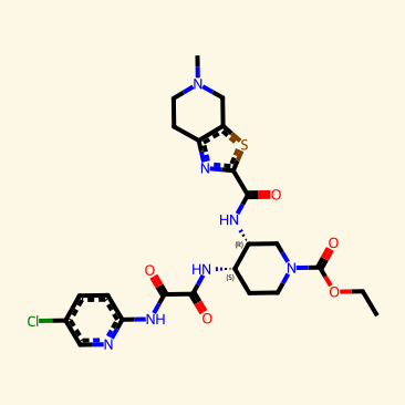 CCOC(=O)N1CC[C@H](NC(=O)C(=O)Nc2ccc(Cl)cn2)[C@H](NC(=O)c2nc3c(s2)CN(C)CC3)C1